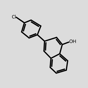 Oc1cc(-c2ccc(Cl)cc2)cc2ccccc12